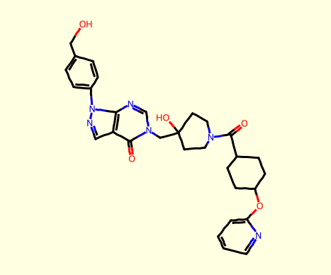 O=C(C1CCC(Oc2ccccn2)CC1)N1CCC(O)(Cn2cnc3c(cnn3-c3ccc(CO)cc3)c2=O)CC1